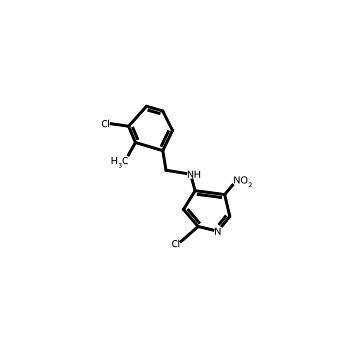 Cc1c(Cl)cccc1CNc1cc(Cl)ncc1[N+](=O)[O-]